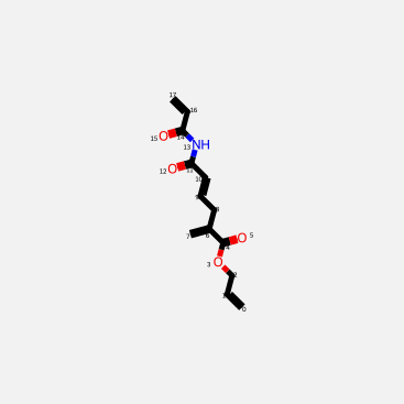 C=CCOC(=O)C(=C)CC=CC(=O)NC(=O)C=C